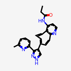 CCC(=O)Nc1ccnc2c1/C=C/C=C(c1c[nH]nc1-c1cccc(C)n1)/C=C\2